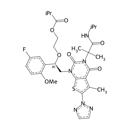 COc1ccc(F)cc1[C@H](Cn1c(=O)n(C(C)(C)C(=O)NC(C)C)c(=O)c2c(C)c(-n3nccn3)sc21)OCCOC(=O)C(C)C